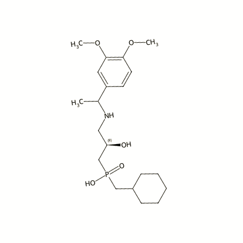 COc1ccc(C(C)NC[C@@H](O)CP(=O)(O)CC2CCCCC2)cc1OC